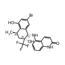 C[C@@H]1C[C@](O)(C(F)(F)F)[C@@H](Nc2cccc3[nH]c(=O)ccc23)c2cc(Br)cc(O)c21